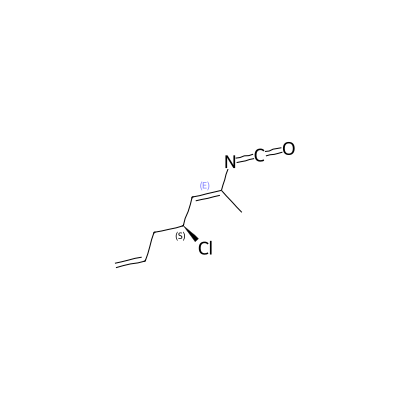 C=CC[C@H](Cl)/C=C(\C)N=C=O